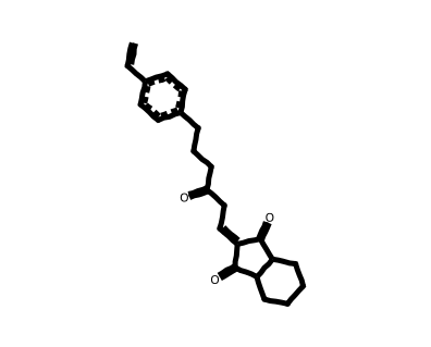 C=Cc1ccc(CCCC(=O)CC=C2C(=O)C3CCCCC3C2=O)cc1